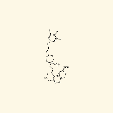 COc1ccc2ncc(CO)c([C@H](F)CCC3(C(=O)O)CCN(CCSc4cc(F)c(F)c(F)c4)CC3)c2c1